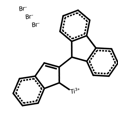 [Br-].[Br-].[Br-].[Ti+3][CH]1C(C2c3ccccc3-c3ccccc32)=Cc2ccccc21